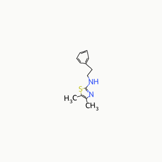 Cc1nc(NCCc2ccccc2)sc1C